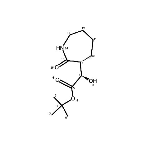 CC(C)(C)OC(=O)[C@H](O)[C@H]1CCCCNC1=O